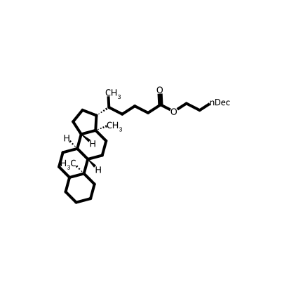 CCCCCCCCCCCCOC(=O)CCCC(C)[C@H]1CC[C@H]2[C@@H]3CCC4CCCC[C@]4(C)[C@H]3CC[C@]12C